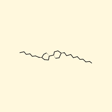 CCCCCCCCCC[C@H]1CC[C@H]([C@H]2CC[C@H](CCCCCCC)CC2)CC1